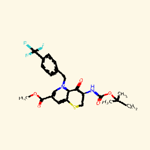 COC(=O)C1=CN(Cc2ccc(C(F)(F)F)cc2)C2C(=O)[C@@H](NC(=O)OC(C)(C)C)CSC2=C1